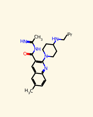 CC(=N)NC(=O)c1cc2cc(C)ccc2nc1N1CCC(NCC(C)C)CC1